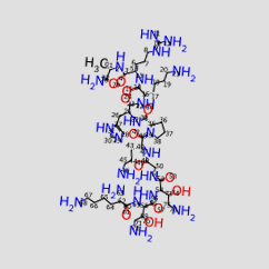 C[C@H](NC(=O)/C(=C/CCNC(=N)N)NC(=O)[C@H](CCCCN)NC(=O)[C@H](Cc1cnc[nH]1)NC(=O)[C@@H]1CCCN1C(=O)[C@@H](CCCN)NC(=O)CNC(=O)[C@@H](NC(=O)[C@@H](NC(=O)[C@@H](N)CCCCN)[C@@H](O)CN)[C@@H](O)CN)C(N)=O